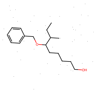 [CH2]C(CC)C(CCCCCO)OCc1ccccc1